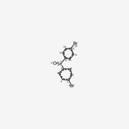 O=[Se](c1ccc(Br)cc1)c1ccc(Br)cc1